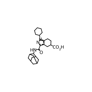 O=C(NC1C2CC3CC(C2)CC1C3)c1nn(C2CCCCC2)c2c1CC(C(=O)O)CC2